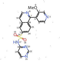 COc1cnccc1-c1nccc2cc(S(=O)(=O)Nc3ccncn3)ccc12